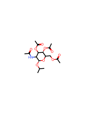 CC(=O)NC1C(OC(C)=O)[C@@H](OC(C)=O)C(COC(C)=O)O[C@H]1OC(C)C